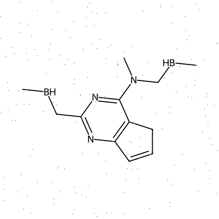 CBCc1nc2c(c(N(C)CBC)n1)CC=C2